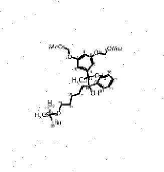 COCOc1cc(OCOC)cc(C(C)(C)C(O)(CCCCCO[Si](C)(C)C(C)(C)C)c2ccccc2)c1